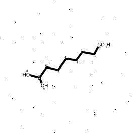 O=S(=O)(O)CCCCCCC(O)O